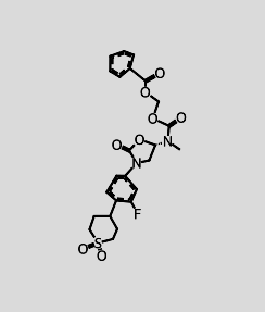 CN(C(=O)OCOC(=O)c1ccccc1)[C@@H]1CN(c2ccc(C3CCS(=O)(=O)CC3)c(F)c2)C(=O)O1